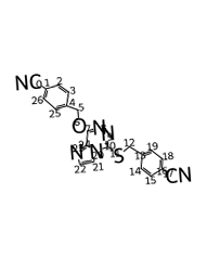 N#Cc1ccc(COc2nnc(SCc3ccc(C#N)cc3)n3ccnc23)cc1